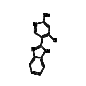 CC(C)(C)c1cc(Cl)c(-c2nc3ccccc3[nH]2)cn1